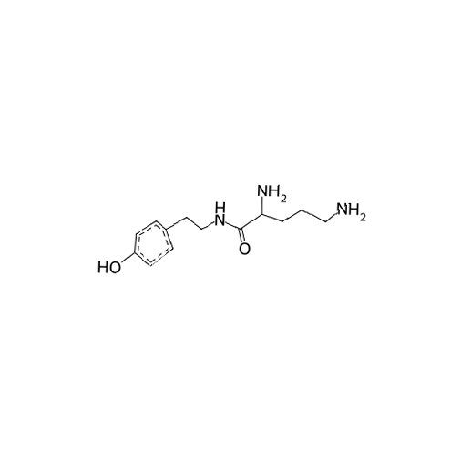 NCCCC(N)C(=O)NCCc1ccc(O)cc1